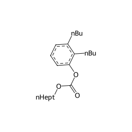 CCCCCCCOC(=O)Oc1cccc(CCCC)c1CCCC